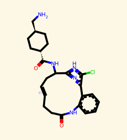 NC[C@H]1CC[C@H](C(=O)NC2C/C=C/CCC(=O)Nc3ccccc3-c3nc2[nH]c3Cl)CC1